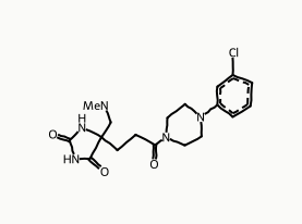 CNCC1(CCC(=O)N2CCN(c3cccc(Cl)c3)CC2)NC(=O)NC1=O